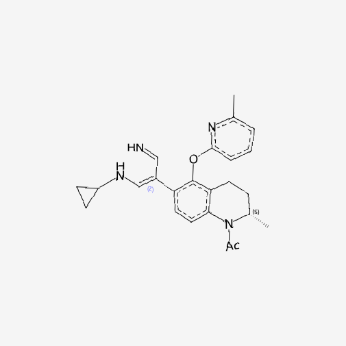 CC(=O)N1c2ccc(/C(C=N)=C/NC3CC3)c(Oc3cccc(C)n3)c2CC[C@@H]1C